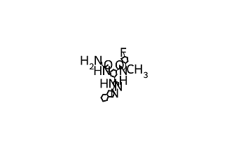 C[C@@H](NC(=O)c1cc(NC(=O)CCN)cc(-c2cnc(-c3cc4ccccc4cn3)[nH]2)c1)c1ccc(F)cc1